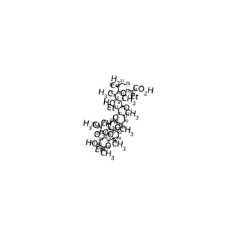 CC[C@@H](C(=O)[C@@H](C)[C@@H](O)[C@H](C)[C@@H]1O[C@@H]([C@@H](CC)C(=O)O)CCC1C)[C@H]1O[C@]2(C=C[C@@H](OC(=O)N(C)C)[C@]3(CC[C@@](C)([C@H]4CC[C@](O)(CC)[C@H](C)O4)O3)O2)[C@H](C)C[C@@H]1C